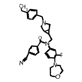 CCc1ccc(CN2CC3C(C2)C3CN(C(=O)c2ccc(C#N)cc2)c2ccc(N3CCOCC3)c(F)c2)cc1